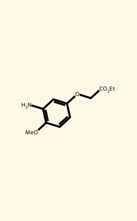 CCOC(=O)COc1ccc(OC)c(N)c1